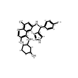 N#Cc1cnc2c(Cl)cc(N[C@@H](c3ccc(F)cc3)c3c[nH]nn3)cc2c1NC1CCCC(O)C1